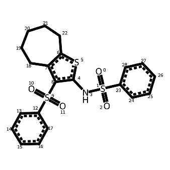 O=S(=O)(Nc1sc2c(c1S(=O)(=O)c1ccccc1)CCCCC2)c1ccccc1